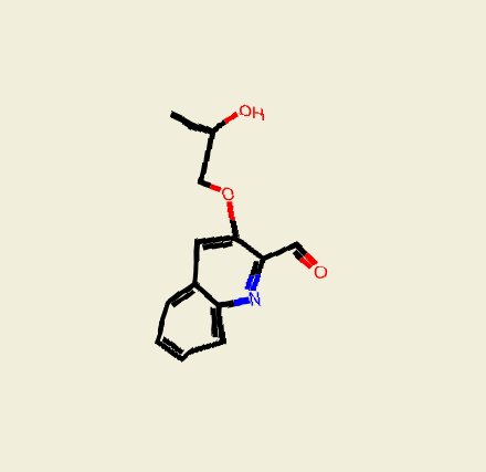 CC(O)COc1cc2ccccc2nc1C=O